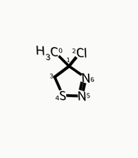 CC1(Cl)CSN=N1